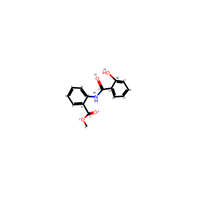 COC(=O)c1ccccc1NC(=O)c1ccccc1O